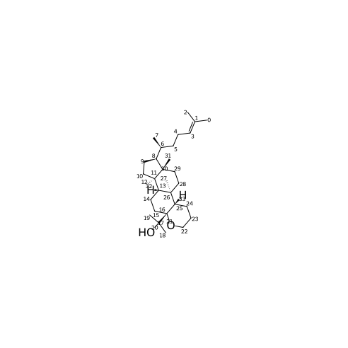 CC(C)=CCC[C@H](C)[C@@H]1CC[C@]2(C)[C@H]3CC[C@@]4(C(C)(C)O)OCCC[C@H]4[C@]3(C)CC[C@@]12C